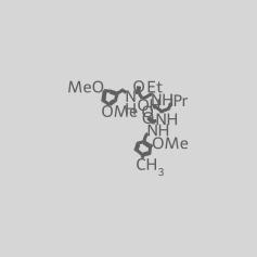 CCC(NC(=O)C(CC(C)C)NC(=O)NCc1ccc(C)cc1OC)C(O)C(=O)NCc1cc(OC)cc(OC)c1